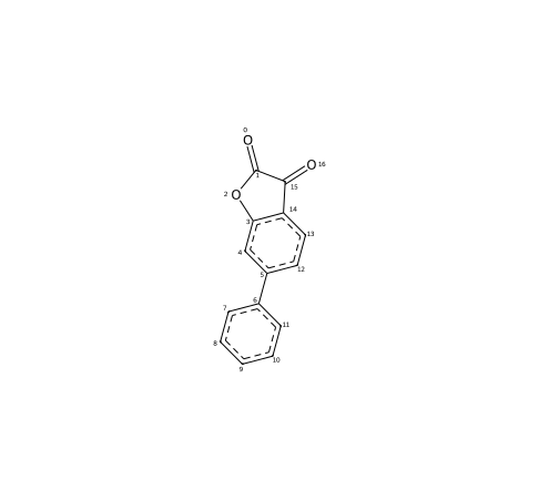 O=C1Oc2cc(-c3ccccc3)ccc2C1=O